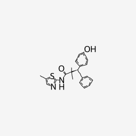 Cc1cnc(NC(=O)C(C)(C)[C@H](c2ccccc2)c2ccc(O)cc2)s1